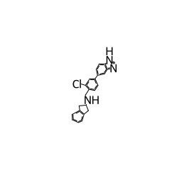 Clc1cc(-c2ccc3[nH]cnc3c2)ccc1CNC1Cc2ccccc2C1